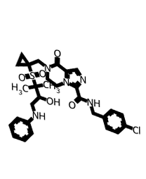 CC(C)(C(O)CNc1ccccc1)S(=O)(=O)C1(CN2CCn3c(cnc3C(=O)NCc3ccc(Cl)cc3)C2=O)CC1